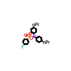 CCCc1ccc([I+](OS(=O)(=O)c2ccc(F)cc2)c2ccc(CCC)cc2)cc1